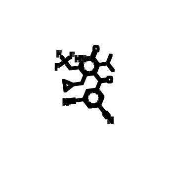 CC(C)c1c(C(=O)c2cc(C#N)cc(C#N)c2)c(CC2CC2)c(CC(F)(F)F)[nH]c1=O